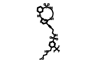 COCCNCc1ccc(S(=O)(=O)NCCC#Cc2cnc3nc2NCCCNS(=O)(=O)c2cccc(c2)N3)cc1C(F)(F)F